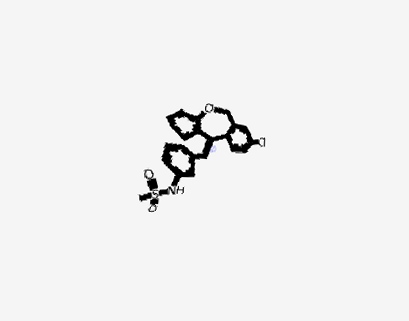 CS(=O)(=O)Nc1cccc(/C=C2/c3ccc(Cl)cc3COc3ccccc32)c1